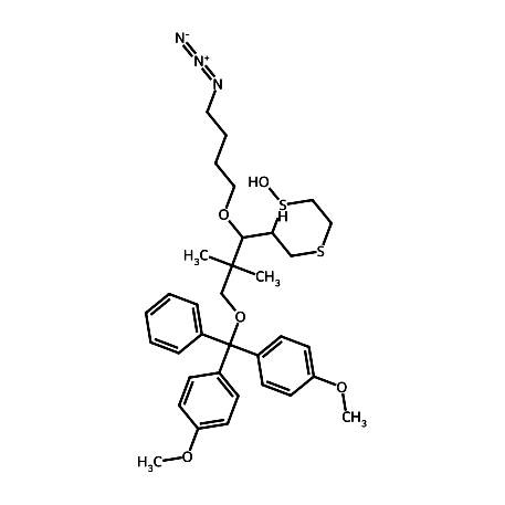 COc1ccc(C(OCC(C)(C)C(OCCCCN=[N+]=[N-])C2CSCC[SH]2O)(c2ccccc2)c2ccc(OC)cc2)cc1